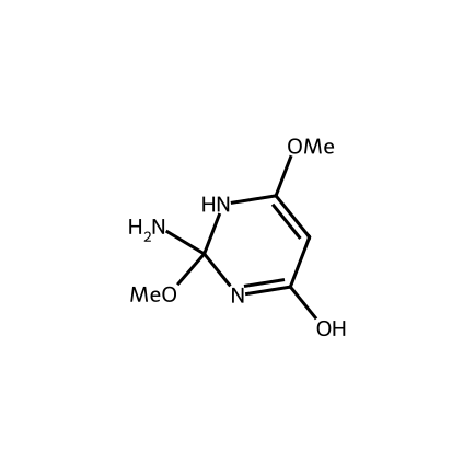 COC1=CC(O)=NC(N)(OC)N1